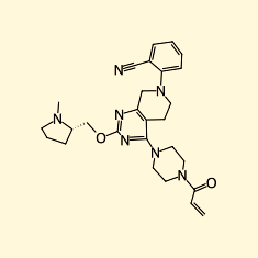 C=CC(=O)N1CCN(c2nc(OC[C@@H]3CCCN3C)nc3c2CCN(c2ccccc2C#N)C3)CC1